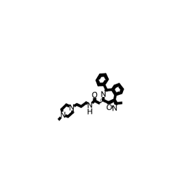 Cc1noc2c1-c1ccccc1C(c1ccccc1)=N[C@H]2CC(=O)NCCCN1CCN(C)CC1